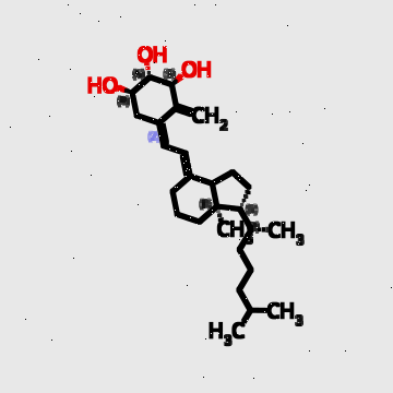 C=C1/C(=C\C=C2CCC[C@@]3(C)C2CC[C@@H]3[C@H](C)CCCC(C)C)C[C@@H](O)[C@H](O)[C@H]1O